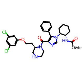 COC(=O)N[C@H]1CCCC[C@@H]1n1cnc(C(=O)N2CCNC[C@H]2CCOc2cc(Cl)cc(Cl)c2)c1-c1ccccc1